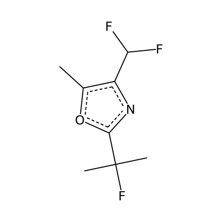 Cc1oc(C(C)(C)F)nc1C(F)F